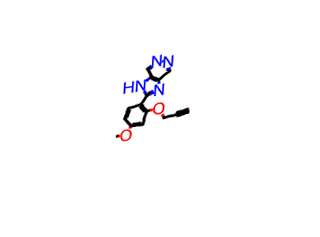 C#CCOc1cc(OC)ccc1-c1nc2cnncc2[nH]1